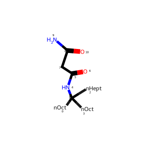 CCCCCCCCC(CCCCCCC)(CCCCCCCC)NC(=O)CC(N)=O